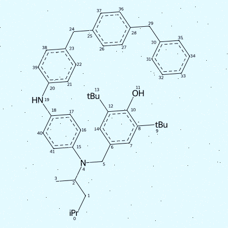 CC(C)CC(C)N(Cc1cc(C(C)(C)C)c(O)c(C(C)(C)C)c1)c1ccc(Nc2ccc(Cc3ccc(Cc4ccccc4)cc3)cc2)cc1